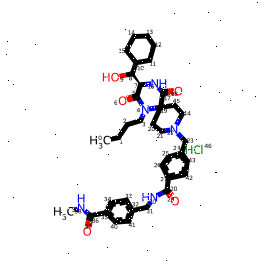 CCCCN1C(=O)[C@@H](C(O)C2CCCCC2)NC(=O)C12CCN(Cc1ccc(C(=O)NCc3ccc(C(=O)NC)cc3)cc1)CC2.Cl